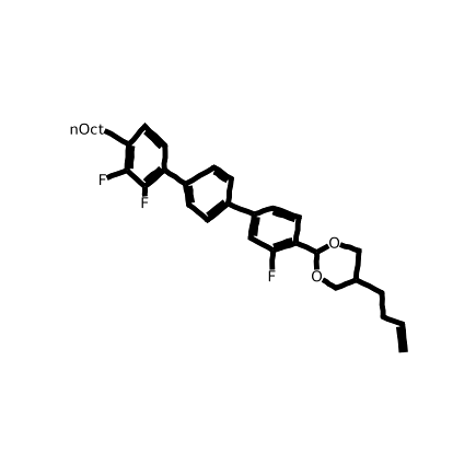 C=CCCC1COC(c2ccc(-c3ccc(-c4ccc(CCCCCCCC)c(F)c4F)cc3)cc2F)OC1